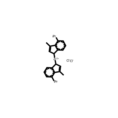 CC1=C[CH]([Zr+2][CH]2C=C(C)c3c(C(C)C)cccc32)c2cccc(C(C)C)c21.[Cl-].[Cl-]